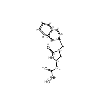 O=C(NO)O[C@@H]1CN(Cc2ccc3ccccc3c2)C(=O)N1